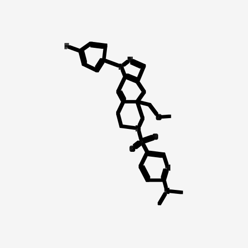 COCC12Cc3cnn(-c4ccc(F)cc4)c3C=C1CCN(S(=O)(=O)c1ccc(N(C)C)nc1)C2